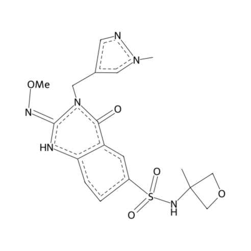 CON=c1[nH]c2ccc(S(=O)(=O)NC3(C)COC3)cc2c(=O)n1Cc1cnn(C)c1